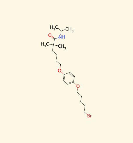 CC(C)NC(=O)C(C)(C)CCCCOc1ccc(OCCCCCBr)cc1